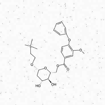 COc1cc(C(=O)OC[C@H]2O[C@@H](OCCS(C)(C)C)C[C@@H](O)[C@@H]2O)ccc1Oc1ccccc1